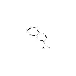 CC(C)N(C)c1cnc2ncccc2n1